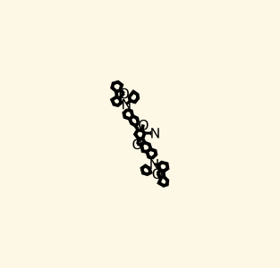 N#Cc1c2oc3cc4cc(N(c5ccccc5)c5cccc6c5oc5ccccc56)ccc4cc3c2cc2oc3cc4cc(N(c5ccccc5)c5cccc6c5oc5ccccc56)ccc4cc3c12